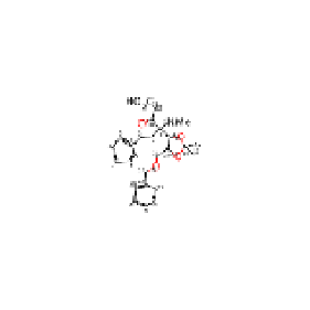 CNC(CCc1ccccc1)(C(=O)CC(=O)O)C1OC(C)(C)OC1COCc1ccccc1